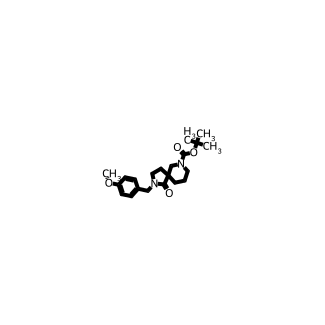 COc1ccc(CN2CCC3(CCCN(C(=O)OC(C)(C)C)C3)C2=O)cc1